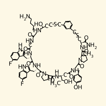 C[C@@H](O)[C@H]1CC(=O)N[C@@H](Cc2ccc(O)cc2)C(=O)N2CCC[C@@]2(C)C(=O)N[C@H](C(N)=O)CSCc2cccc(c2)CSCCC(O)N[C@@H](CCCCN)C(=O)NCC(=O)N[C@@H](Cc2c[nH]c3ccc(F)cc23)C(=O)N[C@@H](Cc2c[nH]c3ccc(F)cc23)C(=O)N2CCC[C@H]2C(=O)N1